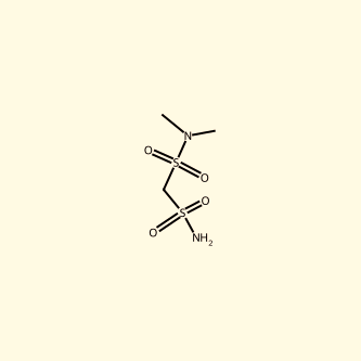 CN(C)S(=O)(=O)CS(N)(=O)=O